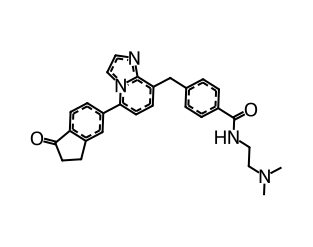 CN(C)CCNC(=O)c1ccc(Cc2ccc(-c3ccc4c(c3)CCC4=O)n3ccnc23)cc1